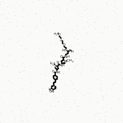 [H]/N=C(\CCNC(=O)c1cc(NC(=O)c2cc(NC(=O)c3ccc(C=Cc4ccc5nonc5c4)cc3)cn2C)cn1C)NCCOCCOCCOC